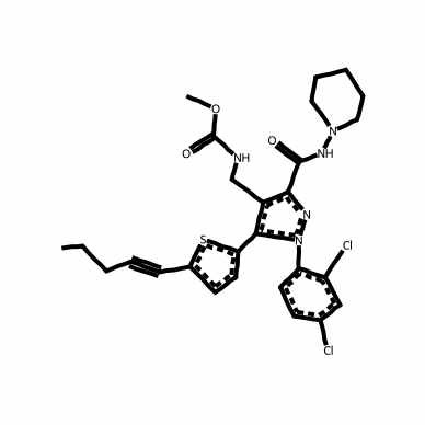 CCCC#Cc1ccc(-c2c(CNC(=O)OC)c(C(=O)NN3CCCCC3)nn2-c2ccc(Cl)cc2Cl)s1